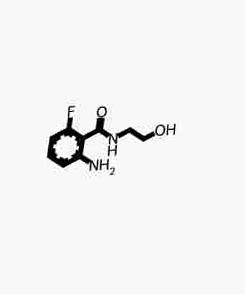 Nc1cccc(F)c1C(=O)NCCO